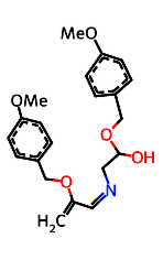 C=C(/C=N\CC(O)OCc1ccc(OC)cc1)OCc1ccc(OC)cc1